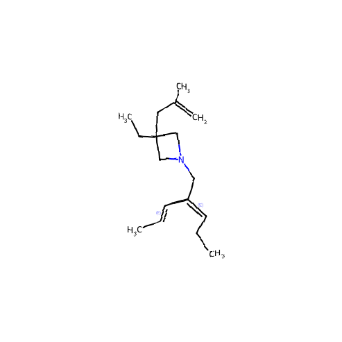 C=C(C)CC1(CC)CN(CC(/C=C/C)=C/CC)C1